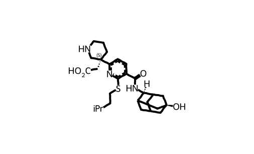 CC(C)CCSc1nc([C@]2(CC(=O)O)CCCNC2)ccc1C(=O)N[C@H]1C2CC3CC1C[C@@](O)(C3)C2